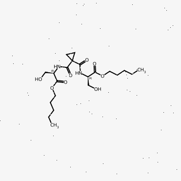 CCCCCOC(=O)[C@@H](CO)NC(=O)C1(C(=O)N[C@H](CO)C(=O)OCCCCC)CC1